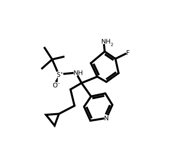 CC(C)(C)[S@+]([O-])NC(CCC1CC1)(c1ccncc1)c1ccc(F)c(N)c1